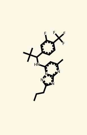 CCCc1nc2nc(C)cc(NC(c3ccc(C(F)(F)F)c(F)c3)C(C)(C)C)n2n1